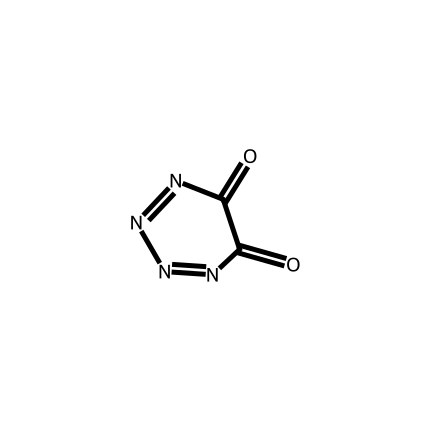 O=C1N=NN=NC1=O